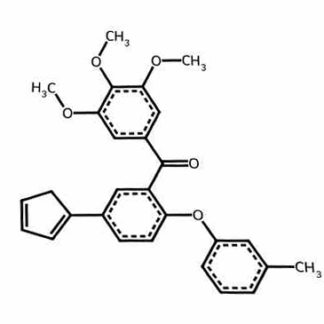 COc1cc(C(=O)c2cc(C3=CC=CC3)ccc2Oc2cccc(C)c2)cc(OC)c1OC